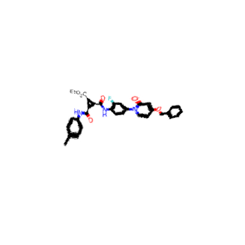 CCOC(=O)[C@H]1[C@H](C(=O)Nc2ccc(C)cc2)[C@@H]1C(=O)Nc1ccc(-n2ccc(OCc3ccccc3)cc2=O)cc1F